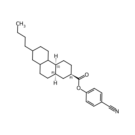 CCCCC1CCC2C(CC[C@@H]3C[C@H](C(=O)Oc4ccc(C#N)cc4)CC[C@H]23)C1